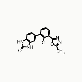 Cc1nnc(-c2cccc(-c3ccc4[nH]c(=O)[nH]c4c3)c2Cl)o1